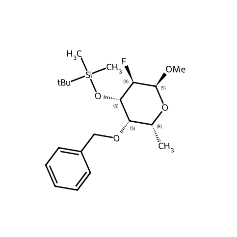 CO[C@H]1O[C@H](C)[C@H](OCc2ccccc2)[C@H](O[Si](C)(C)C(C)(C)C)[C@H]1F